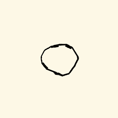 [CH]1CC=CC=CCCC=CCCC1